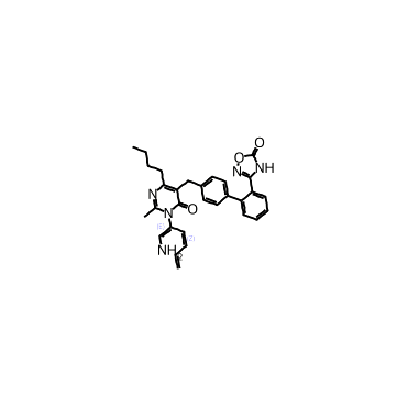 C=C/C=C\C(=C/N)n1c(C)nc(CCCC)c(Cc2ccc(-c3ccccc3-c3noc(=O)[nH]3)cc2)c1=O